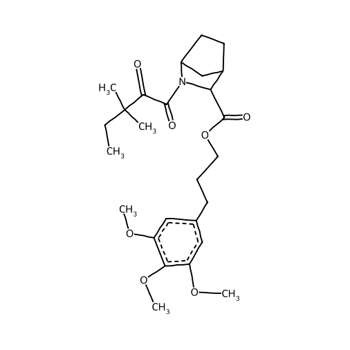 CCC(C)(C)C(=O)C(=O)N1C2CCC(C2)C1C(=O)OCCCc1cc(OC)c(OC)c(OC)c1